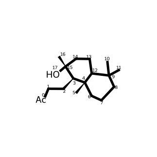 CC(=O)CC[C@@H]1[C@@]2(C)CCCC(C)(C)C2CC[C@@]1(C)O